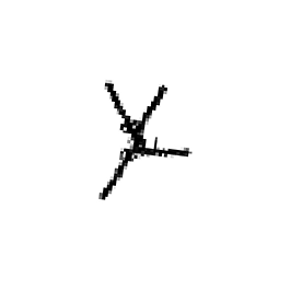 CCCCCCCCCCCCCCCCCC(=O)OCC(COP(=O)(O)OCC(COC(=O)CCCCCCCCCCCCCCCCC)OC(=O)CCCCCCCCCCCCCCCCC)OC(=O)CCCCCCCCCCCCCCCCC